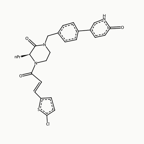 CCC[C@H]1C(=O)N(Cc2ccc(-c3ccc(=O)[nH]c3)cc2)CCN1C(=O)C=Cc1ccc(Cl)s1